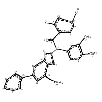 COc1ccc(N(C(=O)c2ccc(Cl)cc2Cl)c2nc3c(NC(C)=O)cc(-c4ccccc4)cc3s2)cc1OC